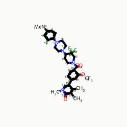 CNc1ccc(N2CCN(C3CCN(C(=O)c4ccc(-c5cn(C)c(=O)c(C)c5C)cc4OC(F)(F)F)CC3(F)F)CC2)c(F)c1